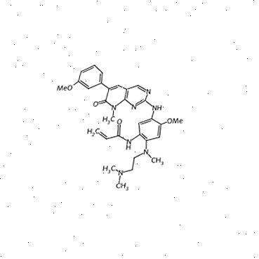 C=CC(=O)Nc1cc(Nc2ncc3cc(-c4cccc(OC)c4)c(=O)n(C)c3n2)c(OC)cc1N(C)CCN(C)C